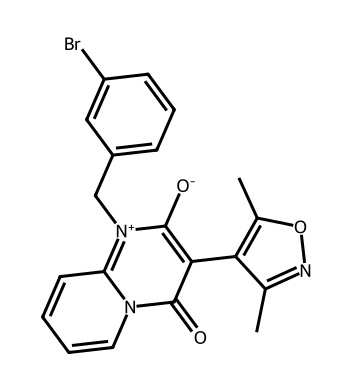 Cc1noc(C)c1-c1c([O-])[n+](Cc2cccc(Br)c2)c2ccccn2c1=O